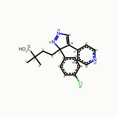 CC(C)(CCC1(c2ccc(Cl)cc2)N=NC=C1c1ccncc1)C(=O)O